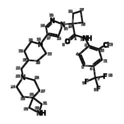 O=C(Nc1ccc(C(F)(F)F)cc1Cl)C1(n2cc(N3CCC(CN4CCC5(CC4)CNC5)CC3)cn2)CCC1